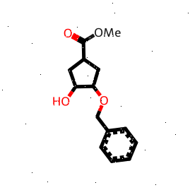 COC(=O)C1CC(O)C(OCc2ccccc2)C1